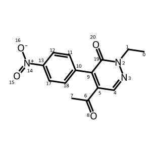 CCn1ncc(C(C)=O)c(-c2ccc([N+](=O)[O-])cc2)c1=O